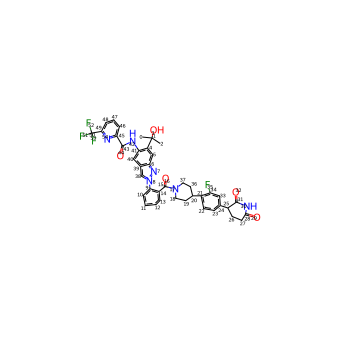 CC(C)(O)c1cc2nn(-c3ccccc3C(=O)N3CCC(c4ccc(C5CCC(=O)NC5=O)cc4F)CC3)cc2cc1NC(=O)c1cccc(C(F)(F)F)n1